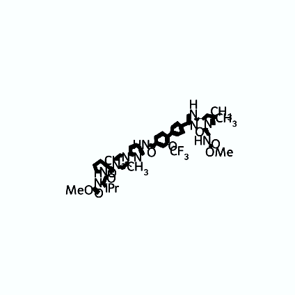 COC(=O)NCC(=O)N1CC(C)(C)C[C@H]1c1nc(-c2ccc(-c3ccc(C(=O)Nc4ccc(N5CCN(C(=O)[C@]6(C)CCCN6C(=O)C(NC(=O)OC)C(C)C)C[C@H]5C)nc4)cc3OC(F)(F)F)cc2)c[nH]1